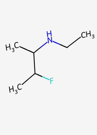 CCNC(C)C(C)F